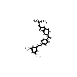 CN(C)Cc1cc2c(o1)CN(C(=O)c1ccc(C=Cc3cc(C(F)(F)F)cc(C(F)(F)F)c3)cc1)CC2